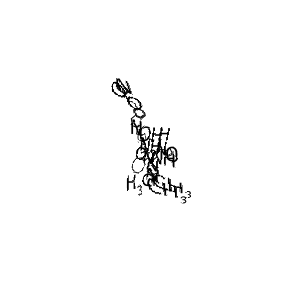 CC(C)(C)N1CCN(C2NC(NC3COC3)CC(C(=O)NC[C@H](O)CN3CCc4cc(OCc5cnco5)ccc4C3)N2C2CCCCCCCC2)CC1